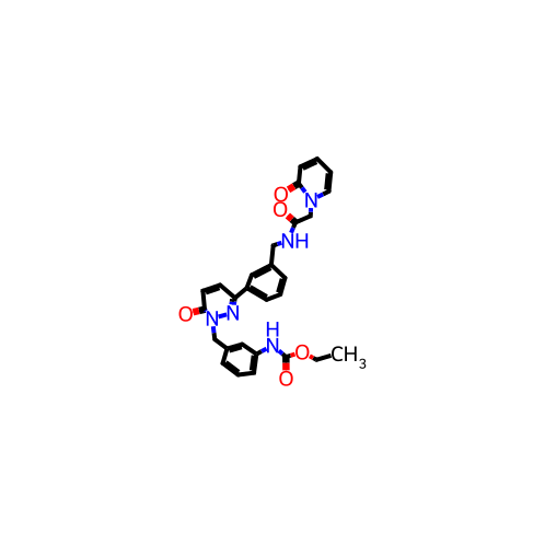 CCOC(=O)Nc1cccc(Cn2nc(-c3cccc(CNC(=O)Cn4ccccc4=O)c3)ccc2=O)c1